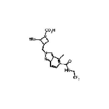 Cc1c(C(=O)NCC(F)(F)F)ccc2nn(CC3CN(C(=O)O)C3C(C)(C)C)cc12